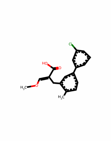 CO/C=C(\Cc1cc(-c2cccc(Cl)c2)ccc1C)C(=O)O